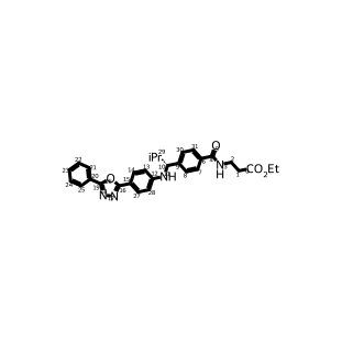 CCOC(=O)CCNC(=O)c1ccc([C@H](Nc2ccc(-c3nnc(-c4ccccc4)o3)cc2)C(C)C)cc1